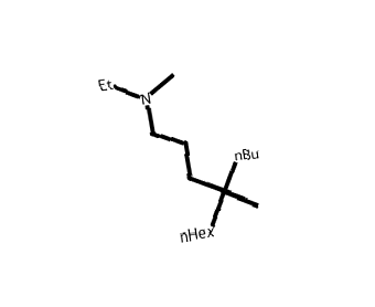 CCCCCCC(C)(CCCC)CCCN(C)CC